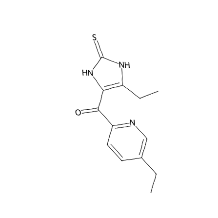 CCc1ccc(C(=O)c2[nH]c(=S)[nH]c2CC)nc1